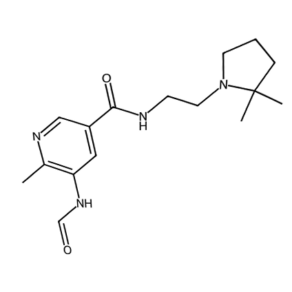 Cc1ncc(C(=O)NCCN2CCCC2(C)C)cc1NC=O